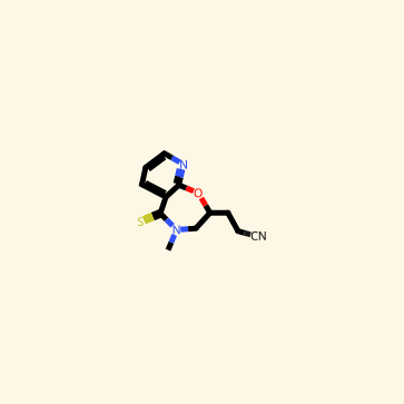 CN1CC(CCC#N)Oc2ncccc2C1=S